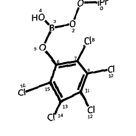 CC(C)OOB(O)Oc1c(Cl)c(Cl)c(Cl)c(Cl)c1Cl